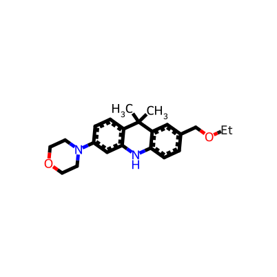 CCOCc1ccc2c(c1)C(C)(C)c1ccc(N3CCOCC3)cc1N2